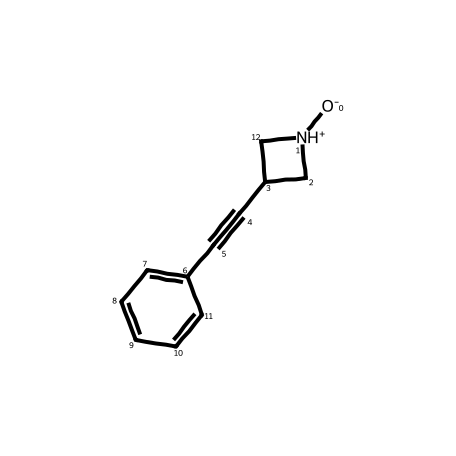 [O-][NH+]1CC(C#Cc2ccccc2)C1